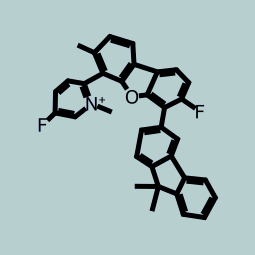 Cc1ccc2c(oc3c(-c4ccc5c(c4)-c4ccccc4C5(C)C)c(F)ccc32)c1-c1ccc(F)c[n+]1C